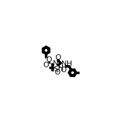 Cc1cccc(CC(=O)N[C@@H]2C(=O)N3[C@@H]2[S@@+]([O-])C(C)(C)[C@@H]3C(=O)OCc2ccccc2)c1